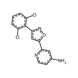 Nc1ccnc(-c2cc(-c3c(Cl)cccc3Cl)no2)c1